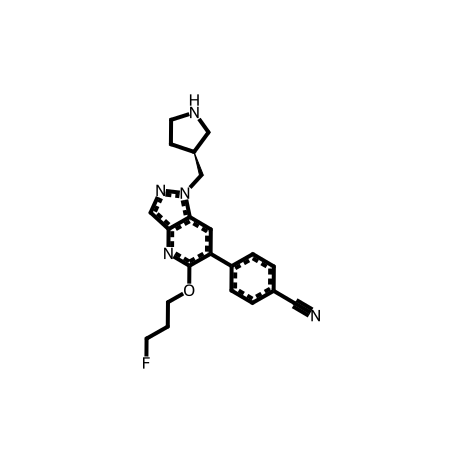 N#Cc1ccc(-c2cc3c(cnn3C[C@H]3CCNC3)nc2OCCCF)cc1